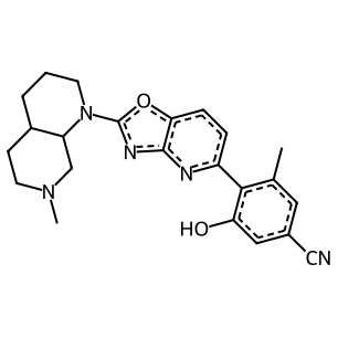 Cc1cc(C#N)cc(O)c1-c1ccc2oc(N3CCCC4CCN(C)CC43)nc2n1